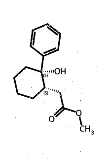 COC(=O)C[C@@H]1CCCC[C@@]1(O)c1ccccc1